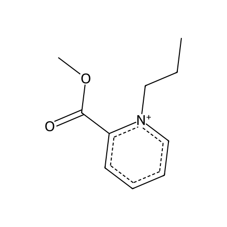 CCC[n+]1ccccc1C(=O)OC